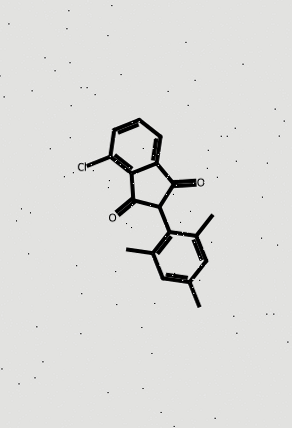 Cc1cc(C)c(C2C(=O)c3cccc(Cl)c3C2=O)c(C)c1